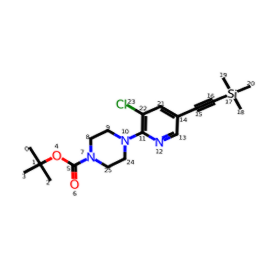 CC(C)(C)OC(=O)N1CCN(c2ncc(C#C[Si](C)(C)C)cc2Cl)CC1